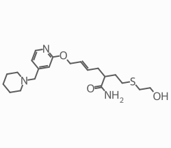 NC(=O)C(CC=CCOc1cc(CN2CCCCC2)ccn1)CCSCCO